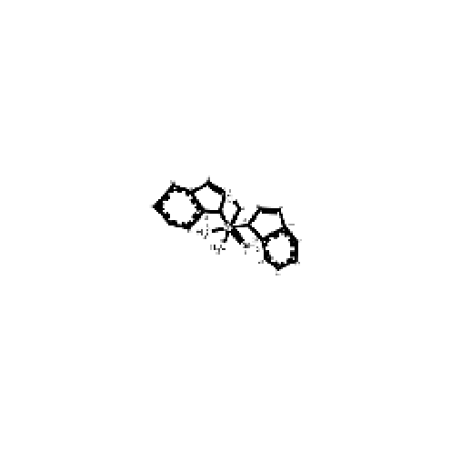 [CH3][Zr]([CH3])(=[SiH2])([CH2]Cl)([CH]1C=Cc2ccccc21)[CH]1C=Cc2ccccc21